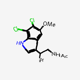 COc1cc2c(C(CNC(C)=O)C(C)C)c[nH]c2c(Cl)c1Cl